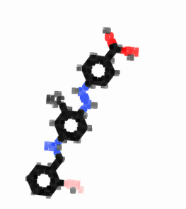 Bc1ccccc1CNc1ccc(/N=N/c2ccc(C(=O)O)cc2)c(C)c1